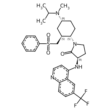 CC(C)N(C)[C@@H]1CC[C@H](N2CC[C@@H](Nc3ccnc4ccc(C(F)(F)F)cc34)C2=O)[C@@H](CS(=O)(=O)c2ccccc2)C1